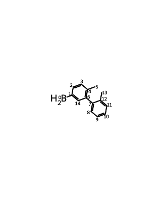 Bc1ccc(C)c(-c2ccccc2C)c1